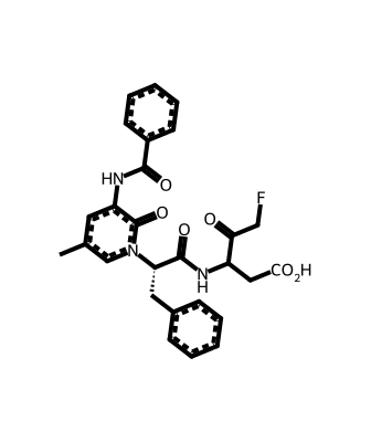 Cc1cc(NC(=O)c2ccccc2)c(=O)n([C@@H](Cc2ccccc2)C(=O)NC(CC(=O)O)C(=O)CF)c1